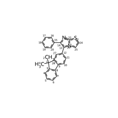 CC1(C)c2ccccc2-c2ccc(-c3c(-c4ccccc4)nc4sccn34)cc21